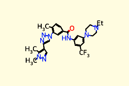 CCN1CCN(c2cc(NC(=O)c3ccc(C)c(-n4cc(-c5cnn(C)c5C)nn4)c3)cc(C(F)(F)F)c2)CC1